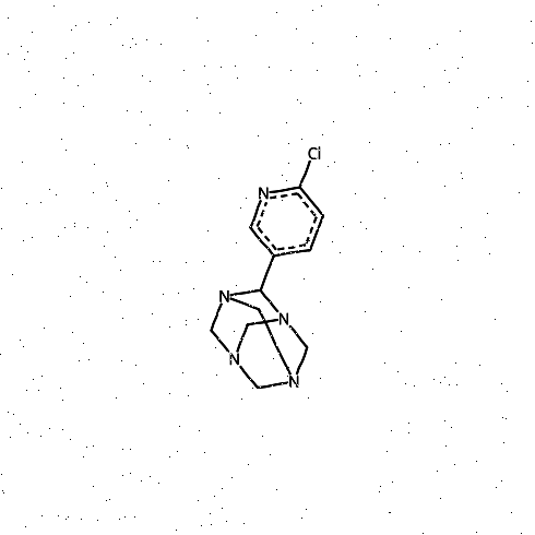 Clc1ccc(C2N3CN4CN(C3)CN2C4)cn1